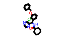 O=C(NC(c1cccc(OCc2ccccc2)c1)c1nccnc1Cl)C1CCCCCC1